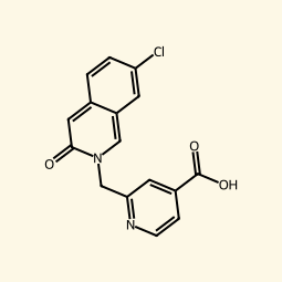 O=C(O)c1ccnc(Cn2cc3cc(Cl)ccc3cc2=O)c1